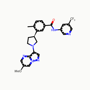 COc1cnc2c(N3CC[C@@H](c4cc(C(=O)Nc5cncc(C(F)(F)F)c5)ccc4C)C3)cnn2c1